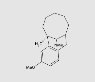 CNC1C2CCCCC[C@]1(C)c1cc(OC)ccc1C2